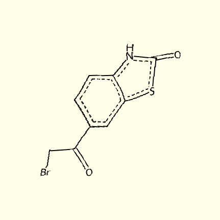 O=C(CBr)c1ccc2[nH]c(=O)sc2c1